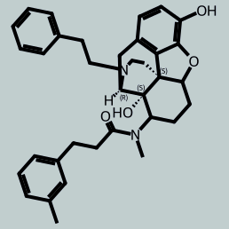 Cc1cccc(CCC(=O)N(C)C2CCC3Oc4c(O)ccc5c4[C@@]34CCN(CCc3ccccc3)[C@H](C5)[C@]24O)c1